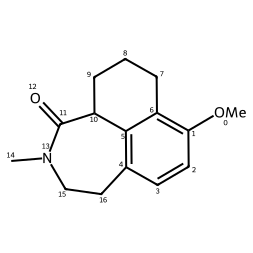 COc1ccc2c3c1CCCC3C(=O)N(C)CC2